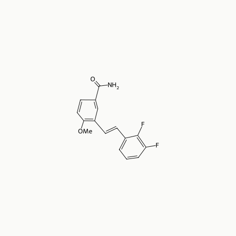 COc1ccc(C(N)=O)cc1C=Cc1cccc(F)c1F